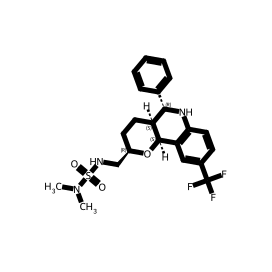 CN(C)S(=O)(=O)NC[C@H]1CC[C@@H]2[C@H](O1)c1cc(C(F)(F)F)ccc1N[C@H]2c1ccccc1